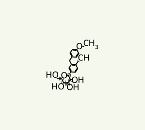 C#Cc1ccc([C@@H]2O[C@H](CO)[C@@H](O)[C@H](O)[C@H]2O)cc1Cc1ccc(OCC)cc1